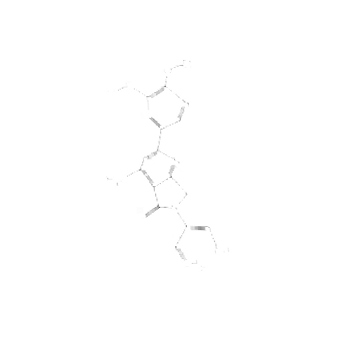 C=C/C(=C\C)N1Cc2nc(-c3cnc(OCC)c(OCC)c3)cc(C)c2C1=O